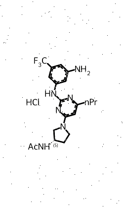 CCCc1cc(N2CC[C@H](NC(C)=O)C2)nc(Nc2cc(N)cc(C(F)(F)F)c2)n1.Cl